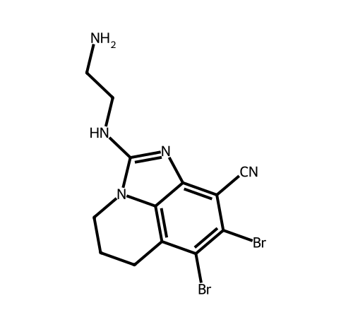 N#Cc1c(Br)c(Br)c2c3c1nc(NCCN)n3CCC2